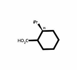 CC(C)[C@H]1CCCCC1C(=O)O